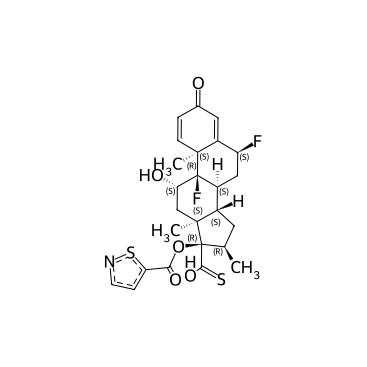 C[C@@H]1C[C@H]2[C@@H]3C[C@H](F)C4=CC(=O)C=C[C@]4(C)[C@@]3(F)[C@@H](O)C[C@]2(C)[C@@]1(OC(=O)c1ccns1)C(O)=S